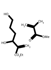 C=C(C(=O)OCC)C(O)CCCO.C=C(C)C(=O)OC